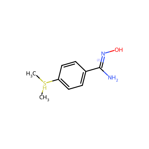 C[SH](C)c1ccc(/C(N)=N/O)cc1